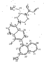 C=CC(=O)N1CCN(C2=NC=NC3C(F)=C(c4cc(O)cc5ccccc45)N=CC23)C[C@@H]1CC#N